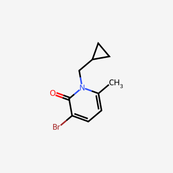 Cc1ccc(Br)c(=O)n1CC1CC1